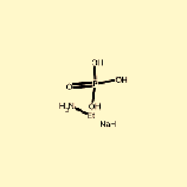 CCN.O=P(O)(O)O.[NaH]